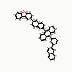 c1cc(-c2ccc3ccccc3c2)cc(-c2c3ccccc3c(-c3ccc4cc(-c5ccc6oc7ccccc7c6c5)ccc4c3)c3ccccc23)c1